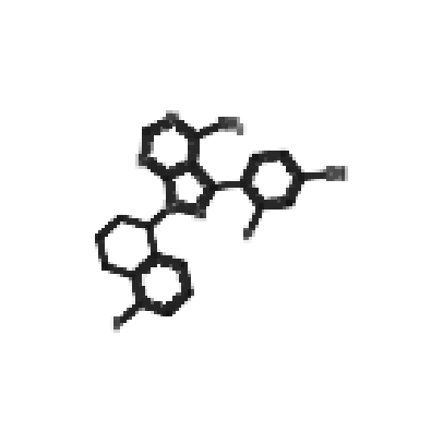 Nc1ncnc2c1c(-c1ccc(O)cc1F)nn2C1CCCc2c(F)cccc21